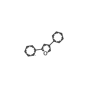 [c]1ccccc1-c1cc(-c2ccccc2)co1